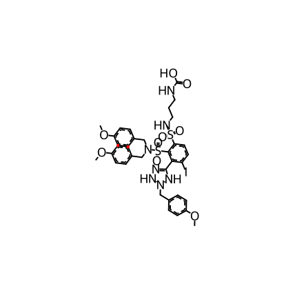 COc1ccc(CN2NN=C(c3c(I)ccc(S(=O)(=O)NCCCNC(=O)O)c3S(=O)(=O)N(Cc3ccc(OC)cc3)Cc3ccc(OC)cc3)N2)cc1